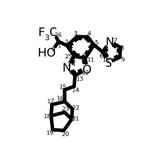 OC(c1ccc(-c2nccs2)c2oc(CCC3CC4CCC(C3)C4)nc12)C(F)(F)F